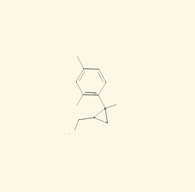 CNCC1CC1(C(=O)O)c1ccc(C)cc1Cl